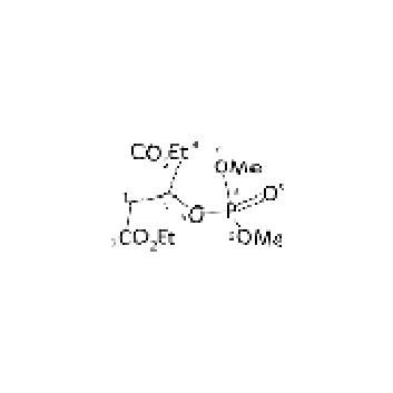 CCOC(=O)CC(OP(=O)(OC)OC)C(=O)OCC